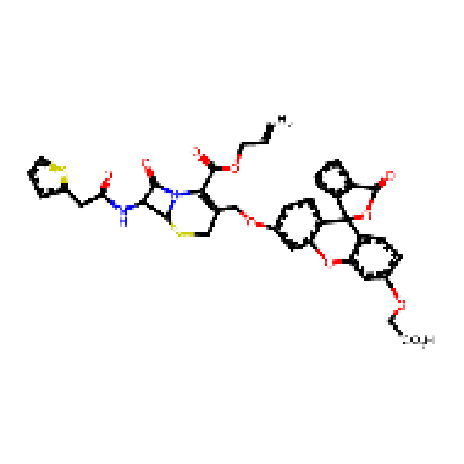 C=CCOC(=O)C1=C(COc2ccc3c(c2)Oc2cc(OCC(=O)O)ccc2C32OC(=O)c3ccccc32)CSC2C(NC(=O)Cc3cccs3)C(=O)N12